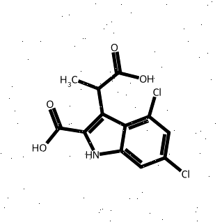 CC(C(=O)O)c1c(C(=O)O)[nH]c2cc(Cl)cc(Cl)c12